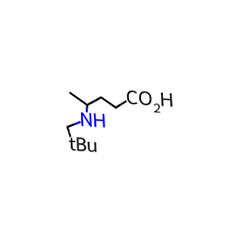 CC(CCC(=O)O)NCC(C)(C)C